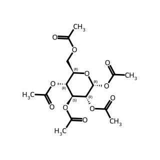 CC(=O)OC[C@H]1O[C@H](OC(C)=O)[C@H](OC(C)=O)[C@@H](OC(C)=O)[C@@H]1OC(C)=O